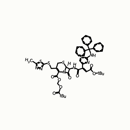 Cc1nnc(SCC2=C(C(=O)OCOC(=O)C(C)(C)C)N3C(=O)C(NC(=O)C(=CC(=O)OC(C)(C)C)c4csc(NC(c5ccccc5)(c5ccccc5)c5ccccc5)n4)[C@@H]3SC2)s1